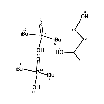 CC(O)CCO.CCC(C)P(=O)(O)C(C)CC.CCC(C)P(=O)(O)C(C)CC